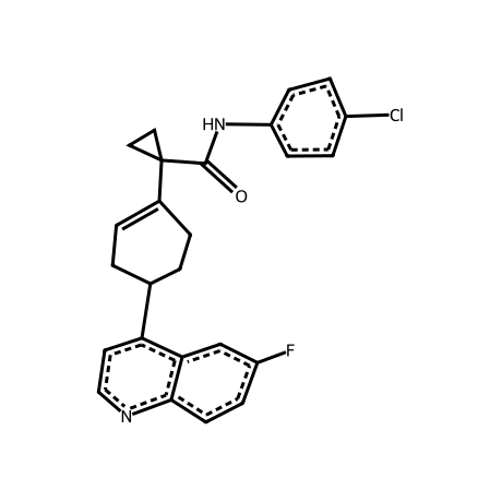 O=C(Nc1ccc(Cl)cc1)C1(C2=CCC(c3ccnc4ccc(F)cc34)CC2)CC1